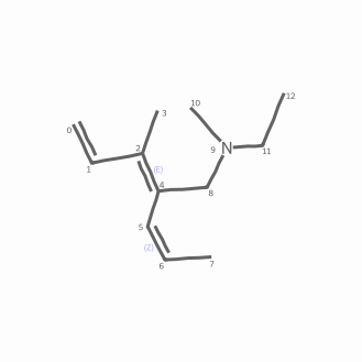 C=C/C(C)=C(\C=C/C)CN(C)CC